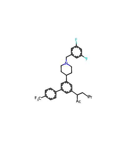 CC(=O)C(CC(C)C)c1cc(-c2ccc(C(F)(F)F)cc2)cc(C2CCN(Cc3cc(F)cc(F)c3)CC2)c1